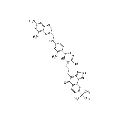 CC(C)(C)c1ccc(C(=O)NCCC[C@H](NC(=O)c2ccc(NCc3cnc4nc(N)nc(N)c4n3)cc2N)C(=O)O)c(-c2nn[nH]n2)c1